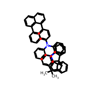 CC1(C)c2ccccc2-c2c(-c3ccccc3N(c3ccc(-c4cccc5cccc(-c6ccccc6)c45)cc3)c3ccccc3-n3c4ccccc4c4ccccc43)cccc21